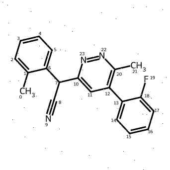 Cc1ccccc1C(C#N)c1cc(-c2ccccc2F)c(C)nn1